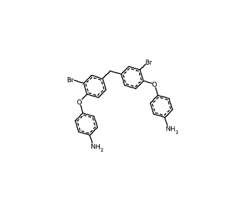 Nc1ccc(Oc2ccc(Cc3ccc(Oc4ccc(N)cc4)c(Br)c3)cc2Br)cc1